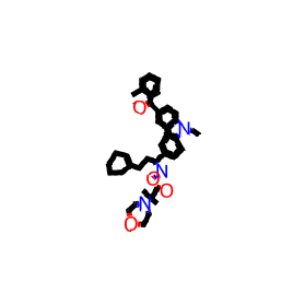 CCn1c2ccc(C(=O)c3ccccc3C)cc2c2cc(/C(CCC3=CCCCC3)=N/OC(=O)C(C)(C)N3CCOCC3)ccc21